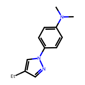 CCc1cnn(-c2ccc(N(C)C)cc2)c1